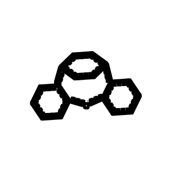 c1ccc2c3ccc(cc3)c3ccccc3oc2c1